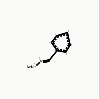 CC(=O)N/N=C/c1ccccc1